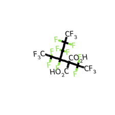 O=C(O)C(C(=O)O)(C(F)(F)C(F)(F)F)C(F)(C(F)(F)C(F)(F)F)C(F)(F)C(F)(F)C(F)(F)F